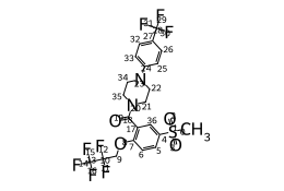 CS(=O)(=O)c1ccc(OCC(F)(F)C(F)(F)F)c(C(=O)N2CCN(c3ccc(C(F)(F)F)cc3)CC2)c1